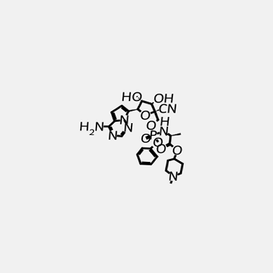 C[C@H](NP(=O)(OC[C@@]1(C#N)O[C@@H](c2ccc3c(N)ncnn23)[C@H](O)[C@@H]1O)Oc1ccccc1)C(=O)OC1CCN(C)CC1